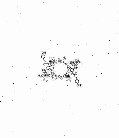 CC(C)CC1C(=O)OC(Cc2ccc(NC(=O)OC(C)(C)C)cc2NC(=O)CCc2ccc(O)cc2)C(=O)N(C)C(CC(C)C)C(=O)OC(C)CN(C)C(CC(C)C)C(=O)OC(Cc2ccc(NC(=O)OC(C)(C)C)cc2NC(=O)CCc2ccc(O)cc2)C(=O)N(C)C(CC(C)C)C(=O)OC(C)CN1C